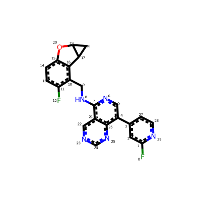 Fc1cc(-c2cnc(NCc3c(F)ccc4c3C3CC3O4)c3cncnc23)ccn1